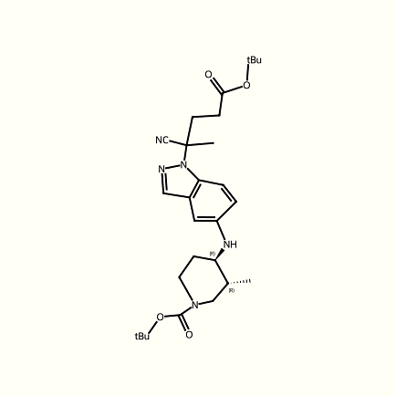 C[C@@H]1CN(C(=O)OC(C)(C)C)CC[C@H]1Nc1ccc2c(cnn2C(C)(C#N)CCC(=O)OC(C)(C)C)c1